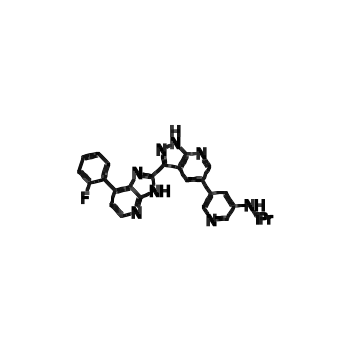 CC(C)Nc1cncc(-c2cnc3[nH]nc(-c4nc5c(-c6ccccc6F)ccnc5[nH]4)c3c2)c1